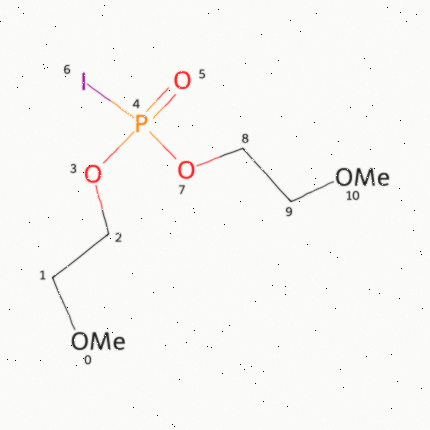 COCCOP(=O)(I)OCCOC